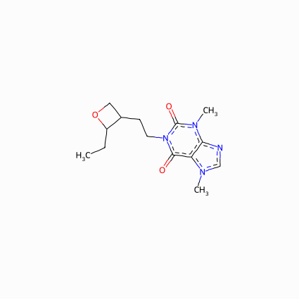 CCC1OCC1CCn1c(=O)c2c(ncn2C)n(C)c1=O